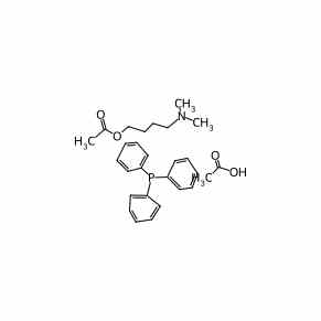 CC(=O)O.CC(=O)OCCCCN(C)C.c1ccc(P(c2ccccc2)c2ccccc2)cc1